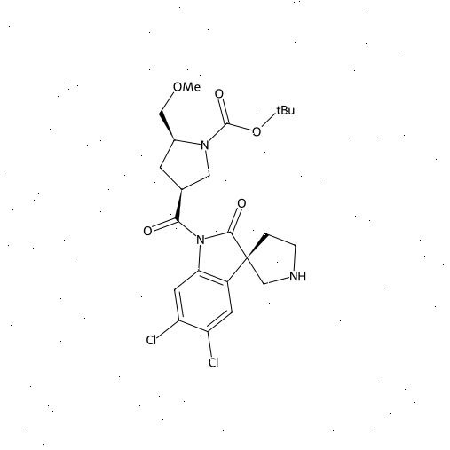 COC[C@@H]1C[C@H](C(=O)N2C(=O)[C@@]3(CCNC3)c3cc(Cl)c(Cl)cc32)CN1C(=O)OC(C)(C)C